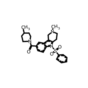 CC1CCN(C(=O)c2ccc3c(c2)c2c(n3S(=O)(=O)c3ccccc3)CCN(C)C2)CC1